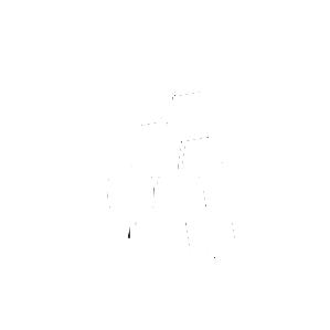 CC[C@@H]1CN(c2c3c(ccc(=O)n3C)nn2C2CCCCO2)[C@@H](CC)CN1